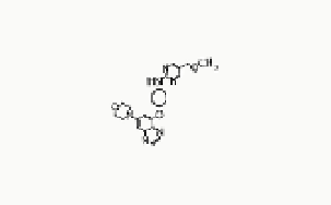 COCc1cnc(N[C@H]2CC[C@@H](Oc3cc(N4CCOCC4)cc4nccnc34)CC2)nc1